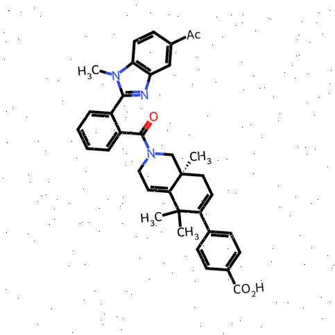 CC(=O)c1ccc2c(c1)nc(-c1ccccc1C(=O)N1CC=C3C(C)(C)C(c4ccc(C(=O)O)cc4)=CC[C@]3(C)C1)n2C